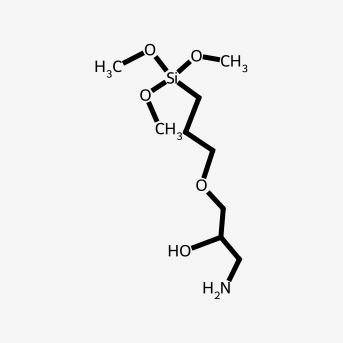 CO[Si](CCCOCC(O)CN)(OC)OC